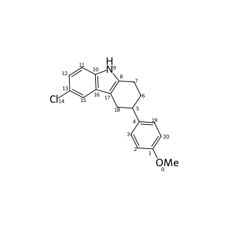 COc1ccc(C2CCc3[nH]c4ccc(Cl)cc4c3C2)cc1